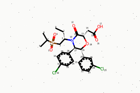 CC[C@@H](CS(=O)(=O)C(C)C)N1C(=O)[C@H](CC(=O)O)O[C@H](c2cccc(Cl)c2)[C@H]1c1ccc(Cl)cc1